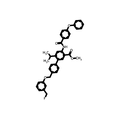 COC(=O)c1cc(-c2ccc(COc3cccc(CF)c3)cc2)c(C(C)C)cc1NC(=O)c1ccc(Oc2ccccc2)cc1